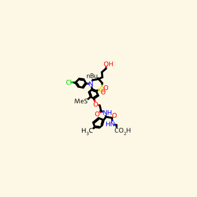 CCCCC1(CCCO)CN(c2ccc(Cl)cc2)c2cc(SC)c(OCC(=O)NC(C(=O)NCC(=O)O)c3ccc(C)cc3)cc2S(=O)(=O)C1